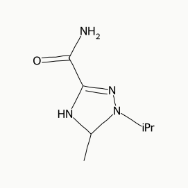 CC(C)N1N=C(C(N)=O)NC1C